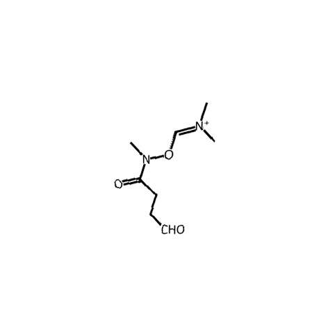 CN(OC=[N+](C)C)C(=O)CCC=O